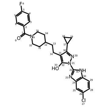 O=C(c1ccc(F)cc1)N1CCC(CCc2c(C3CC3)nn(-c3nc4cc(Cl)ccc4[nH]3)c2O)CC1